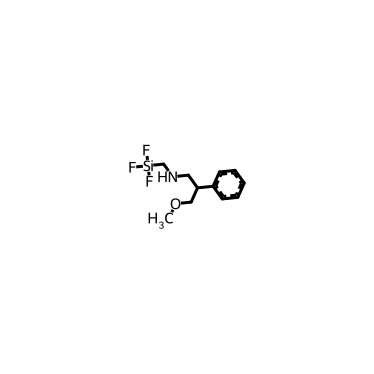 COCC(CNC[Si](F)(F)F)c1ccccc1